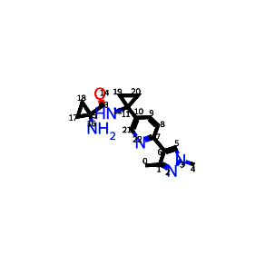 Cc1nn(C)cc1-c1ccc(C2(NC(=O)C3(N)CC3)CC2)cn1